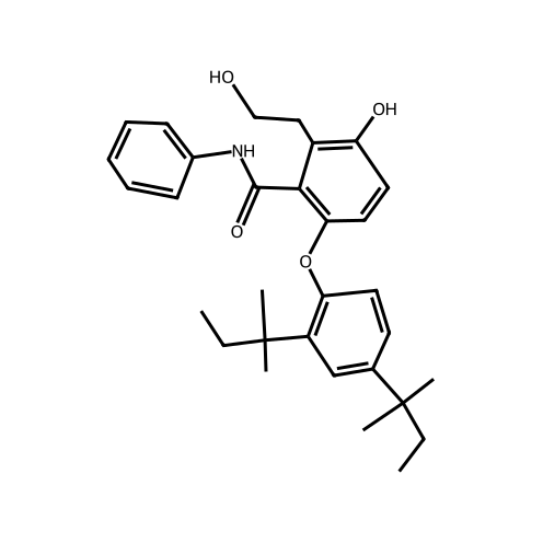 CCC(C)(C)c1ccc(Oc2ccc(O)c(CCO)c2C(=O)Nc2ccccc2)c(C(C)(C)CC)c1